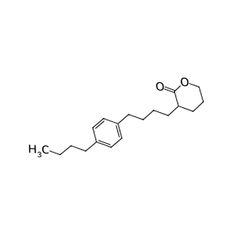 CCCCc1ccc(CCCCC2CCCOC2=O)cc1